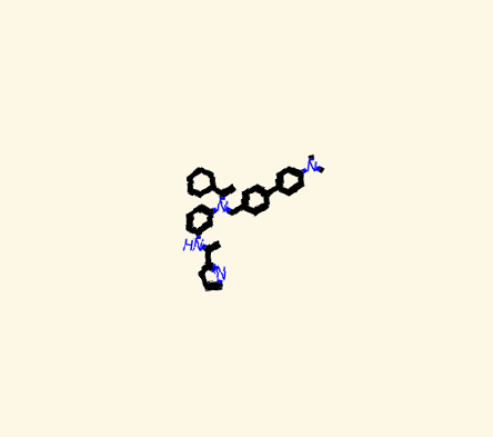 C=C(Nc1cccc(N(Cc2ccc(-c3ccc(N(C)C)cc3)cc2)C(=C)C2CCCCC2)c1)C1=NC=CC1